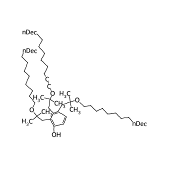 CCCCCCCCCCCCCCCCCCOC(C)(C)Cc1ccc(O)c(CC(C)(C)OCCCCCCCCCCCCCCCCCC)c1CC(C)(C)OCCCCCCCCCCCCCCCCCC